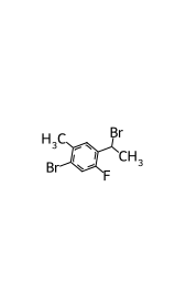 Cc1cc(C(C)Br)c(F)cc1Br